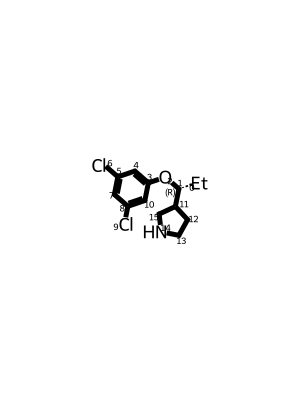 CC[C@@H](Oc1cc(Cl)cc(Cl)c1)C1CCNC1